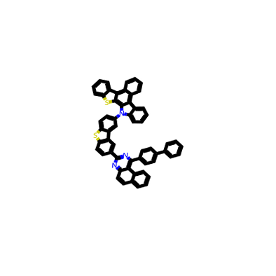 c1ccc(-c2ccc(-c3nc(-c4ccc5sc6ccc(-n7c8ccccc8c8c9ccccc9c9c%10ccccc%10sc9c87)cc6c5c4)nc4ccc5ccccc5c34)cc2)cc1